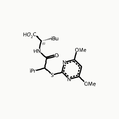 CCC(C)[C@H](NC(=O)C(Sc1nc(OC)cc(OC)n1)C(C)C)C(=O)O